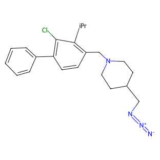 CC(C)c1c(CN2CCC(CN=[N+]=[N-])CC2)ccc(-c2ccccc2)c1Cl